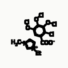 CC[n+]1ccn(C)c1.O=C([O-])c1cc(OCl)c(OCl)c(OCl)c1Cl